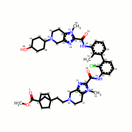 COC(=O)C12CCC(CCN3CCc4c(nc(C(=O)Nc5cccc(-c6cccc(NC(=O)c7nc8c(n7C)CCN(C7CCC(O)CC7)C8)c6C)c5Cl)n4C)C3)(CC1)C2